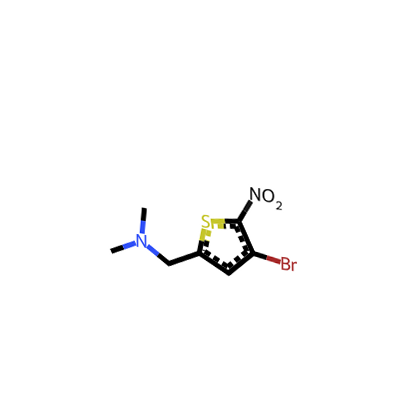 CN(C)Cc1cc(Br)c([N+](=O)[O-])s1